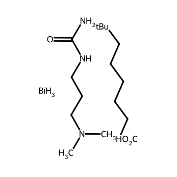 CC(C)(C)CCCCCC(=O)O.CN(C)CCCNC(N)=O.[BiH3]